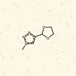 Cn1cc(C2OCCO2)nn1